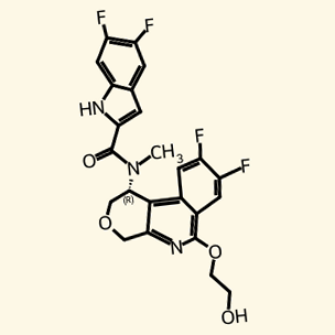 CN(C(=O)c1cc2cc(F)c(F)cc2[nH]1)[C@H]1COCc2nc(OCCO)c3cc(F)c(F)cc3c21